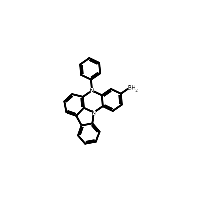 Bc1ccc2c(c1)N(c1ccccc1)c1cccc3c4ccccc4n-2c13